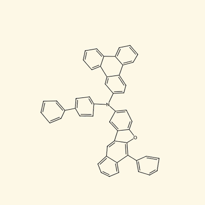 c1ccc(-c2ccc(N(c3ccc4oc5c(-c6ccccc6)c6ccccc6cc5c4c3)c3ccc4c5ccccc5c5ccccc5c4c3)cc2)cc1